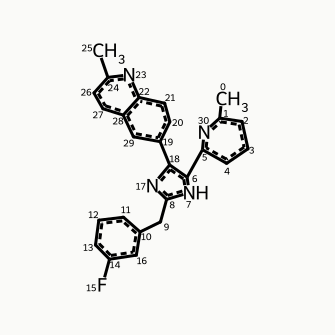 Cc1cccc(-c2[nH]c(Cc3cccc(F)c3)nc2-c2ccc3nc(C)ccc3c2)n1